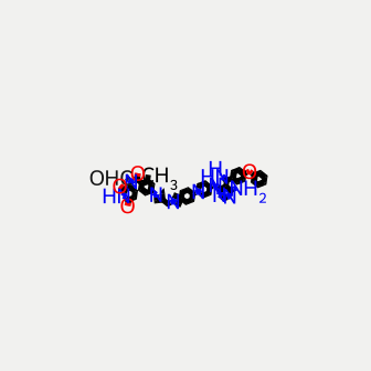 Cc1cc(N2CC(CN3CC4(CCC(N5CCC(Nc6ncnc(N)c6C(=N)c6ccc(Oc7ccccc7)cc6)CC5)CC4)C3)C2)ccc1C(=O)N(C=O)C1CCC(=O)NC1=O